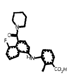 Cc1c(Nc2ccc(C(=O)N3CCCCC3)c3c(F)cccc23)cccc1C(=O)O